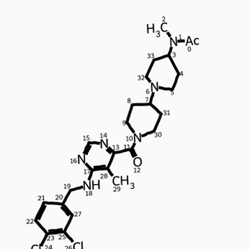 CC(=O)N(C)C1CCN(C2CCN(C(=O)c3ncnc(NCc4ccc(Cl)c(Cl)c4)c3C)CC2)CC1